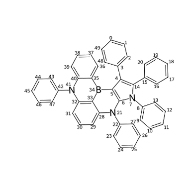 c1ccc(-c2c3c(n(-c4ccccc4)c2-c2ccccc2)N(c2ccccc2)c2cccc4c2B3c2ccccc2N4c2ccccc2)cc1